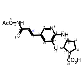 CC(=O)ONC(=O)/C=C/c1cnc(N[C@@H]2CCN(C(=O)O)C2)c(Cl)c1